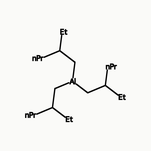 CCCC(CC)[CH2][Al]([CH2]C(CC)CCC)[CH2]C(CC)CCC